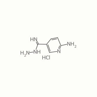 Cl.N=C(NN)c1ccc(N)nc1